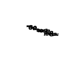 C#CCOCCOCCOCCOCCC[C@@H](CCNC(=O)OC(C)(C)C)C(=O)OC